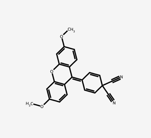 COc1ccc2c(c1)Oc1cc(OC)ccc1C2=C1C=CC(C#N)(C#N)C=C1